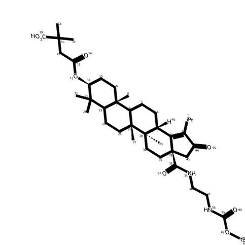 CC(C)C1=C2[C@H]3CCC4[C@@]5(C)CC[C@H](OC(=O)CC(C)(C)C(=O)O)C(C)(C)C5CC[C@@]4(C)[C@]3(C)CC[C@@]2(C(=O)NCCNC(=O)OC(C)(C)C)CC1=O